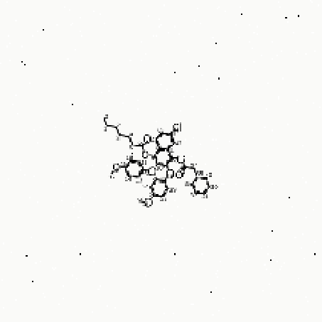 CCCCCCC(=O)Oc1c(Oc2ccc(OC)cc2)c(Oc2ccc(OC)cc2)c(OC(=O)Cc2ccccc2)c2cc(Cl)ccc12